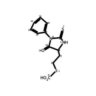 O=C(O)SCCC1NC(=S)N(c2ccccc2)C1=O